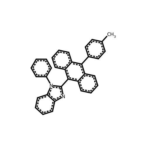 Cc1ccc(-c2c3ccccc3c(-c3nc4ccccc4n3-c3ccccc3)c3ccccc23)cc1